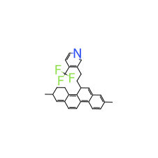 Cc1ccc2c(c1)=CC(CCc1cnccc1C(F)(F)F)c1c3c(ccc1=2)=CC(C)CC3